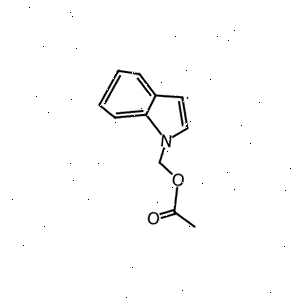 CC(=O)OCn1c[c]c2ccccc21